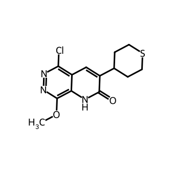 COc1nnc(Cl)c2cc(C3CCSCC3)c(=O)[nH]c12